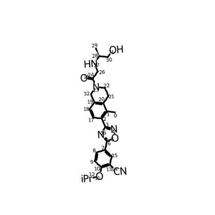 Cc1c(-c2noc(-c3ccc(OC(C)C)c(C#N)c3)n2)ccc2c1CCN(C(=O)CN[C@@H](C)CO)C2